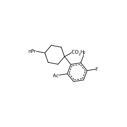 CCCC1CCC(C(=O)O)(c2c(C(C)=O)ccc(F)c2F)CC1